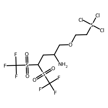 NC(COCCS(Cl)(Cl)Cl)CC(S(=O)(=O)C(F)(F)F)S(=O)(=O)C(F)(F)F